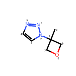 CC1(n2ccnn2)COC1